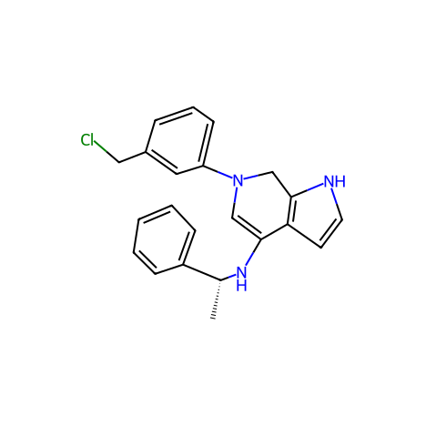 C[C@@H](NC1=CN(c2cccc(CCl)c2)Cc2[nH]ccc21)c1ccccc1